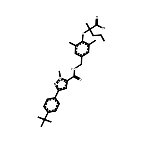 CCCC(C)(Oc1c(C)cc(CNC(=O)c2cc(-c3ccc(C(C)(C)C)cc3)nn2C)cc1C)C(=O)O